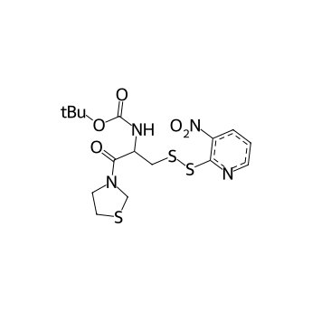 CC(C)(C)OC(=O)NC(CSSc1ncccc1[N+](=O)[O-])C(=O)N1CCSC1